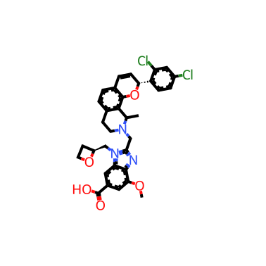 COc1cc(C(=O)O)cc2c1nc(CN1CCc3ccc4c(c3C1C)O[C@@H](c1ccc(Cl)cc1Cl)C=C4)n2C[C@@H]1CCO1